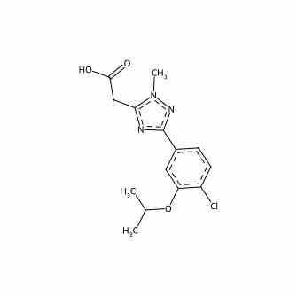 CC(C)Oc1cc(-c2nc(CC(=O)O)n(C)n2)ccc1Cl